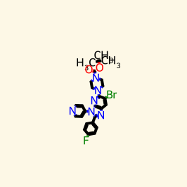 CC(C)(C)OC(=O)N1CCN(c2nc3c(cc2Br)nc(-c2ccc(F)cc2)n3-c2ccncc2)CC1